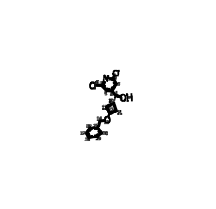 OC(c1cc(Cl)nc(Cl)c1)[C@H]1C[C@H](OCc2ccccc2)C1